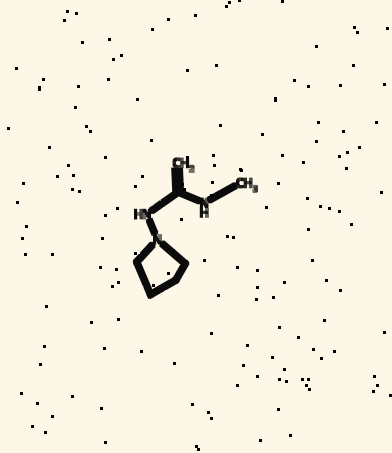 C=C(NC)NN1CCCC1